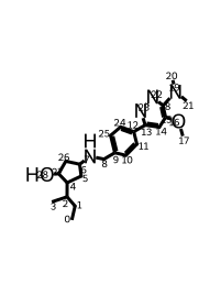 CCC(C)C1CC(NCc2ccc(-c3cc(OC)c(N(C)C)nn3)cc2)CC1O